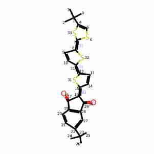 CC(C)(C)C1=CS/C(=c2/cc/c(=c3/cc/c(=C4/C(=O)c5ccc(C(C)(C)C)cc5C4=O)s3)s2)S1